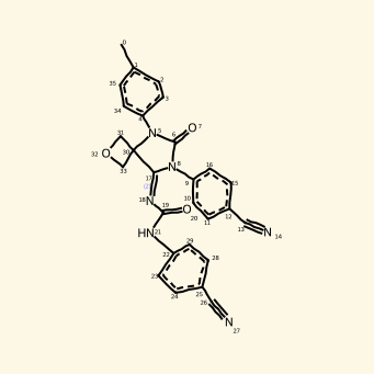 Cc1ccc(N2C(=O)N(c3ccc(C#N)cc3)/C(=N\C(=O)Nc3ccc(C#N)cc3)C23COC3)cc1